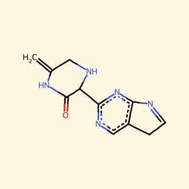 C=C1CNC(c2ncc3c(n2)N=CC3)C(=O)N1